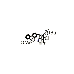 CCC/C=C\c1nc(Cl)c(CO[Si](C)(C)C(C)(C)C)n1Cc1ccc(-c2ccccc2C(=O)OC)cc1